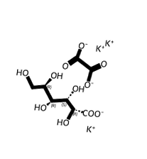 O=C([O-])C(=O)[O-].O=C([O-])[C@H](O)[C@@H](O)[C@H](O)[C@H](O)CO.[K+].[K+].[K+]